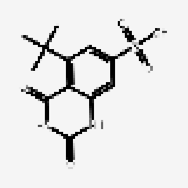 CC(C)(C)c1cc(S(=O)(=O)O)cc2[nH]c(=O)[nH]c(=O)c12